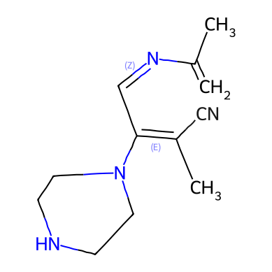 C=C(C)/N=C\C(=C(\C)C#N)N1CCNCC1